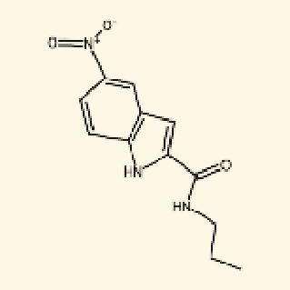 CCCNC(=O)c1cc2cc([N+](=O)[O-])ccc2[nH]1